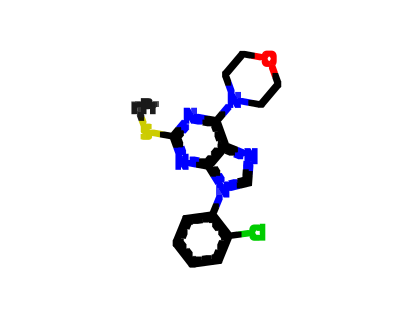 CCCSc1nc(N2CCOCC2)c2ncn(-c3ccccc3Cl)c2n1